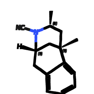 C[C@@H]1C[C@]2(C)C[C@H](Cc3ccccc32)N1C#N